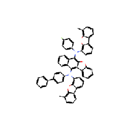 Cc1cccc2c1oc1c(N(c3ccc(F)cc3)c3c4ccccc4c(N(c4ccc(-c5ccccc5)cc4)c4cccc5c4oc4c(C)cccc45)c4c3oc3ccccc34)cccc12